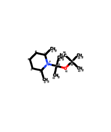 CC1CCCC(C)N1[Si](C)(C)O[Si](C)(C)C